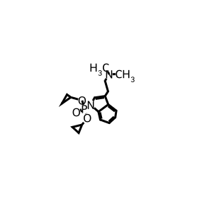 CN(C)CCc1cn(P(=O)(OC2CC2)OC2CC2)c2ccccc12